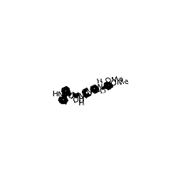 COc1ccc(C(=O)Nc2ccc(N3CCC(NC[C@H](O)COc4cccc5[nH]c6ccccc6c45)CC3)cc2)cc1OC